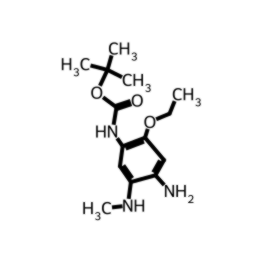 CCOc1cc(N)c(NC)cc1NC(=O)OC(C)(C)C